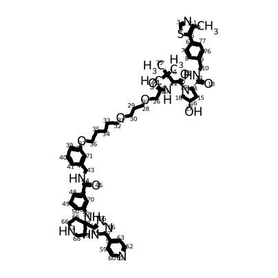 Cc1ncsc1-c1ccc(CNC(=O)[C@@H]2C[C@@H](O)CN2C(=O)[C@@H](NC(=O)COCCCOCCCCCOc2cccc(CNC(=O)c3cccc(NC4(c5nnc(-c6ccncc6)[nH]5)CCNCC4)c3)c2)C(C)(C)C)cc1